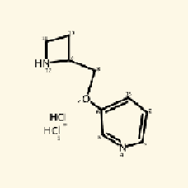 Cl.Cl.c1cncc(OCC2CCN2)c1